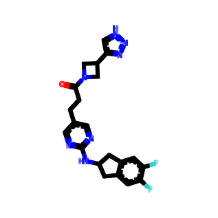 O=C(CCc1cnc(NC2Cc3cc(F)c(F)cc3C2)nc1)N1CC(c2c[nH]nn2)C1